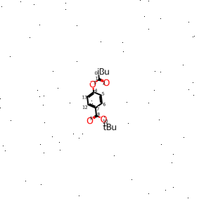 CCC(C)C(=O)Oc1ccc(C(=O)OC(C)(C)C)cc1